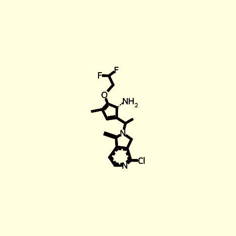 C=C1c2ccnc(Cl)c2CN1C(C)C1=CC(C)=C(OCC(F)F)[C@@H]1N